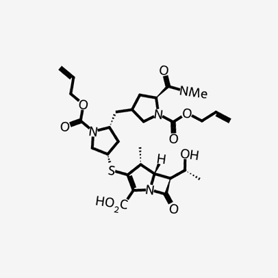 C=CCOC(=O)N1C[C@@H](SC2=C(C(=O)O)N3C(=O)[C@H]([C@@H](C)O)[C@H]3[C@H]2C)C[C@H]1CC1C[C@@H](C(=O)NC)N(C(=O)OCC=C)C1